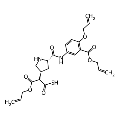 C=CCOC(=O)c1cc(NC(=O)[C@@H]2C[C@@H](C(C(=O)S)C(=O)OCC=C)CN2)ccc1OCC=C